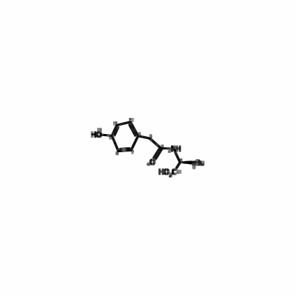 CCCC[C@H](NC(=O)Cc1ccc(O)cc1)C(=O)O